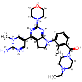 CCN1CCN(C(=O)c2cccc(N3CCc4c(C(/C=N\CN)=C/NC)nc(N5CCOCC5)nc43)c2C)CC1